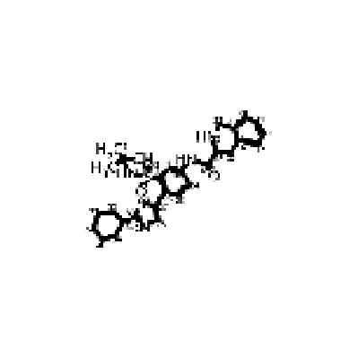 CC(C)(C)NS(=O)(=O)c1cc(NC(=O)C2Cc3ccccc3CN2)ccc1-c1cnc(C2CCCCC2)s1